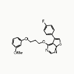 COc1cccc(OCCCOc2ncnc3scc(-c4ccc(F)cc4)c23)c1